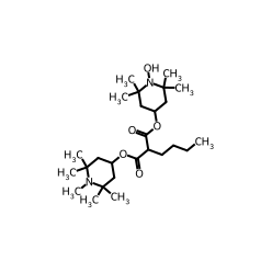 CCCCC(C(=O)OC1CC(C)(C)N(C)C(C)(C)C1)C(=O)OC1CC(C)(C)N(O)C(C)(C)C1